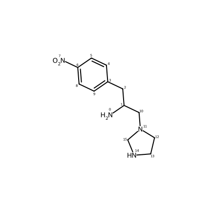 NC(Cc1ccc([N+](=O)[O-])cc1)CN1CCNC1